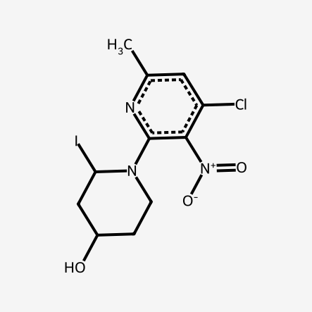 Cc1cc(Cl)c([N+](=O)[O-])c(N2CCC(O)CC2I)n1